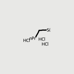 CCCC[Si].Cl.Cl.Cl